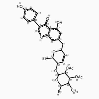 CCC1OC(Cc2cc(O)c3c(=O)c(-c4ccc(O)cc4)coc3c2)C=CC1OC1OC(CC)C(C)C(OC(C)=O)C1OC(C)=O